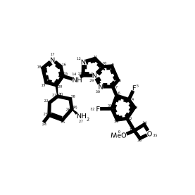 COC1(c2cc(F)c(-c3ccc4cnc(Nc5cnccc5[C@@H]5CC(C)=C[C@H](N)C5)n4n3)c(F)c2)COC1